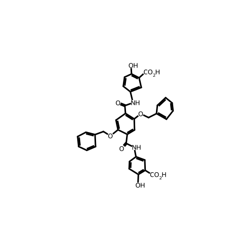 O=C(O)c1cc(NC(=O)c2cc(OCc3ccccc3)c(C(=O)Nc3ccc(O)c(C(=O)O)c3)cc2OCc2ccccc2)ccc1O